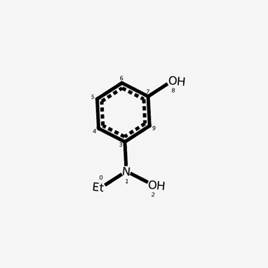 CCN(O)c1cccc(O)c1